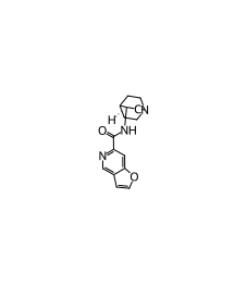 O=C(N[C@@H]1CN2CCC1CC2)c1cc2occc2cn1